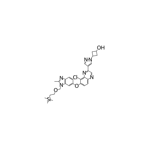 Cc1nc2ccc(Oc3ccc4ncc(-c5cnn(C6CC(O)C6)c5)nc4c3Cl)cc2n1COCC[Si](C)(C)C